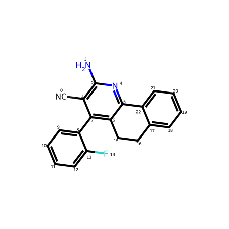 N#Cc1c(N)nc2c(c1-c1ccccc1F)CCc1ccccc1-2